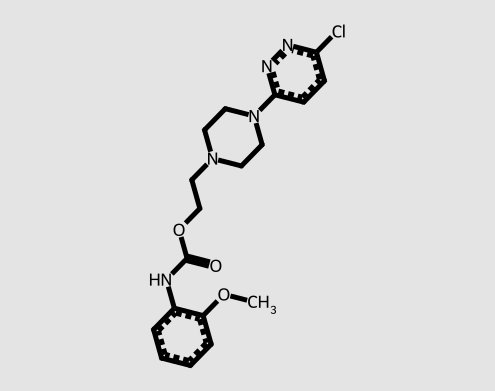 COc1ccccc1NC(=O)OCCN1CCN(c2ccc(Cl)nn2)CC1